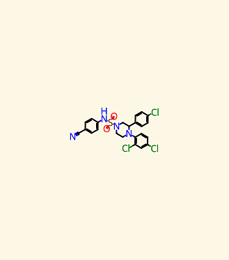 N#Cc1ccc(NS(=O)(=O)N2CCN(c3ccc(Cl)cc3Cl)C(c3ccc(Cl)cc3)C2)cc1